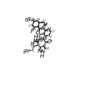 CC(C)Cc1n[nH]cc1-c1n[nH]cc1C(=O)Nc1ccnc(-n2ncc3cc(C(C)(C)C)cc(F)c3c2=O)c1CO